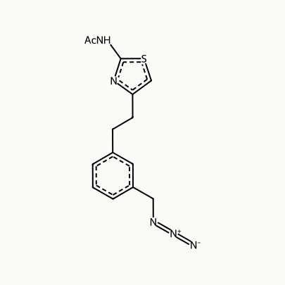 CC(=O)Nc1nc(CCc2cccc(CN=[N+]=[N-])c2)cs1